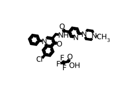 CN1CCN(c2ccc(C(=O)NCc3cn(-c4ccccc4)c4cc(Cl)ccc4c3=O)cn2)CC1.O=C(O)C(F)(F)F